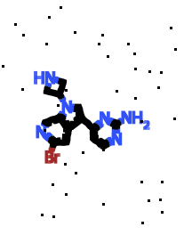 Nc1nccc(-c2cn(C3CNC3)c3cnc(Br)cc23)n1